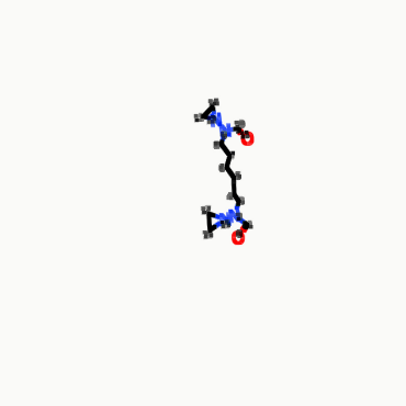 O=CN(CCCCCCN(C=O)N1CC1)N1CC1